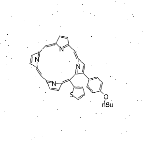 CCCCOc1ccc(C2=CC3=CC4=NC(=CC5=NC(=CC6=NC(=C(c7cccs7)C2=N3)C=C6)C=C5)C=C4)cc1